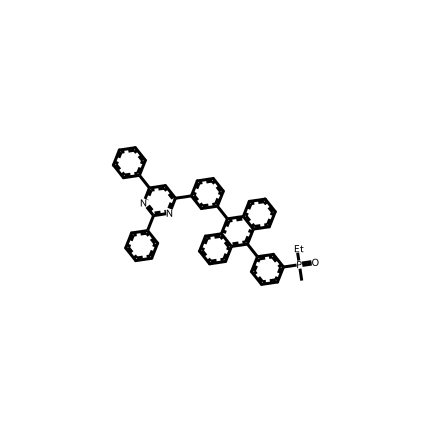 CCP(C)(=O)c1cccc(-c2c3ccccc3c(-c3cccc(-c4cc(-c5ccccc5)nc(-c5ccccc5)n4)c3)c3ccccc23)c1